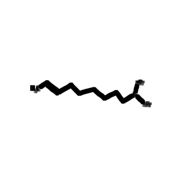 C/C=C/CCCCCCN(CCC)CCC